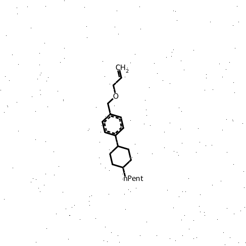 C=CCOCc1ccc(C2CCC(CCCCC)CC2)cc1